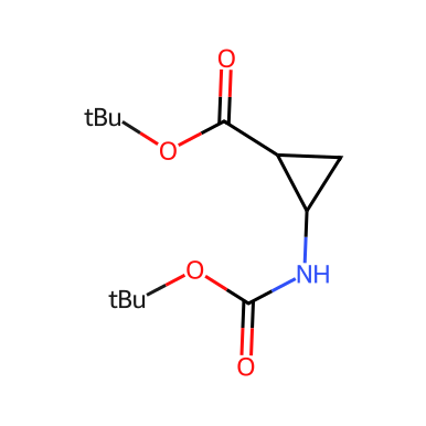 CC(C)(C)OC(=O)NC1CC1C(=O)OC(C)(C)C